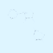 CCC(=COc1ccc(C)cc1)C(=O)Nc1ccccc1